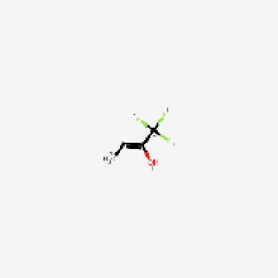 CC=C(O)C(F)(F)F